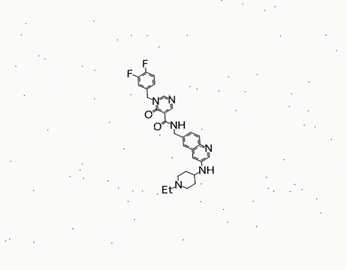 CCN1CCC(Nc2cnc3ccc(CNC(=O)c4cncn(Cc5ccc(F)c(F)c5)c4=O)cc3c2)CC1